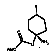 COC(=O)O[C@]1(N)CC[C@H](C)CC1